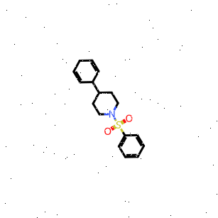 O=S(=O)(c1ccccc1)N1CCC(C2C=CCC=C2)CC1